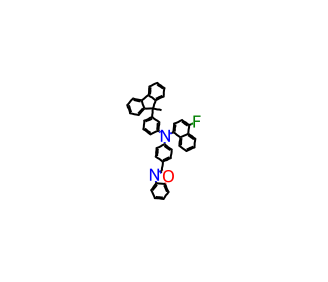 CC1(c2cccc(N(c3ccc(-c4nc5ccccc5o4)cc3)c3ccc(F)c4ccccc34)c2)c2ccccc2-c2ccccc21